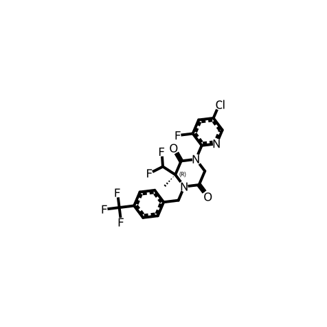 C[C@]1(C(F)F)C(=O)N(c2ncc(Cl)cc2F)CC(=O)N1Cc1ccc(C(F)(F)F)cc1